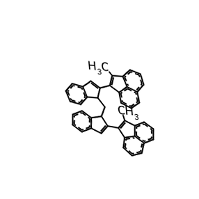 CC1=C(C2=Cc3ccccc3C2CC2C(C3=C(C)c4cccc5cccc3c45)=Cc3ccccc32)c2cccc3cccc1c23